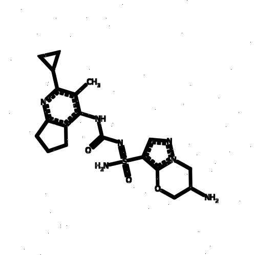 Cc1c(C2CC2)nc2c(c1NC(=O)N=S(N)(=O)c1cnn3c1OCC(N)C3)CCC2